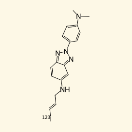 CN(C)c1ccc(-n2nc3ccc(NC/C=C/[123I])cc3n2)cc1